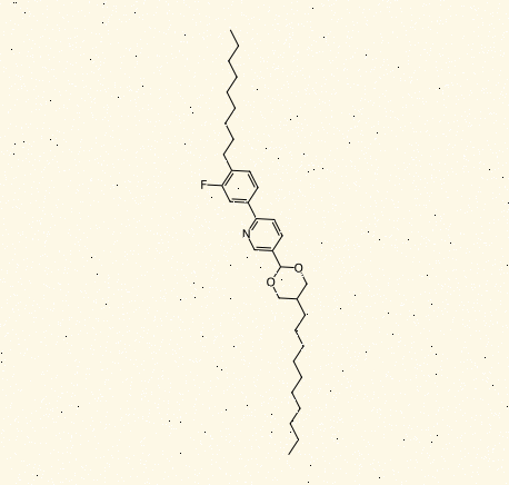 CCCCCCCCCCC1COC(c2ccc(-c3ccc(CCCCCCCCC)c(F)c3)nc2)OC1